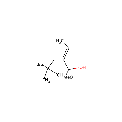 C/C=C(\CC(C)(C)C(C)(C)C)C(O)OC